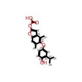 Cc1cc2oc(OC(=O)O)cc2c(C)c1Oc1ccc(O)c(C(C)C)c1